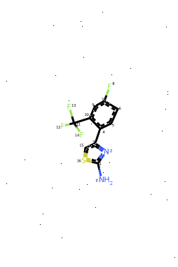 Nc1nc(-c2ccc(F)cc2C(F)(F)F)cs1